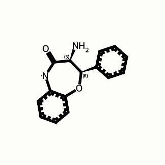 N[C@@H]1C(=O)[N]c2ccccc2O[C@@H]1c1ccccc1